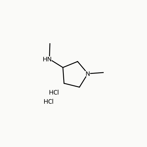 CNC1CCN(C)C1.Cl.Cl